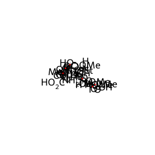 CCN[C@H]1CO[C@@H](O[C@H]2[C@H](O[C@H]3C#CC=CC#C[C@]4(O)CC(=O)C(NC(=O)OC)=C3/C4=C\CSSC[C@H](NC(=O)CC[C@H](N)C(=O)O)C(=O)NCC(=O)O)O[C@H](C)[C@@H](NO[C@H]3C[C@H](O)[C@H](SC(=O)c4c(C)c(I)c(O[C@@H]5O[C@@H](C)[C@H](O)[C@@H](OC)[C@H]5O)c(OC)c4OC)[C@@H](C)O3)[C@@H]2O)C[C@@H]1OC